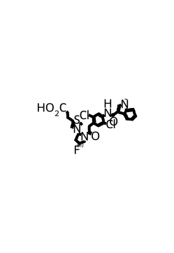 Cn1cc(C(=O)Nc2cc(Cl)c(CC(=O)N3C[C@@H](F)CC3N3C=C(CCC(=O)O)SC3)cc2Cl)c2ccccc21